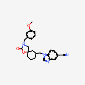 COc1cccc(CN2CC3(CCCC(Cn4cnc5cc(C#N)ccc54)C3)OC2=O)c1